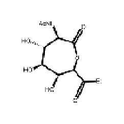 CCC(=O)C1OC(=O)[C@H](NC(C)=O)[C@@H](O)[C@H](O)[C@@H]1O